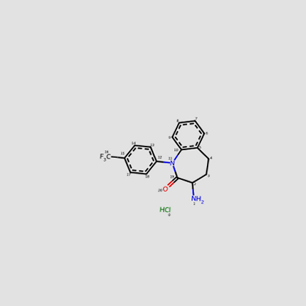 Cl.NC1CCc2ccccc2N(c2ccc(C(F)(F)F)cc2)C1=O